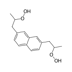 CC(Cc1ccc2ccc(CC(C)OO)cc2c1)OO